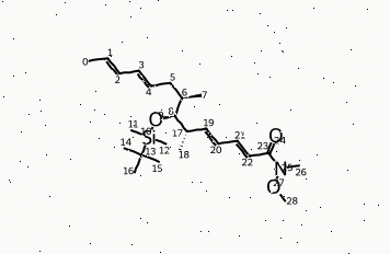 C/C=C/C=C/C[C@@H](C)[C@H](O[Si](C)(C)C(C)(C)C)[C@@H](C)/C=C/C=C/C(=O)N(C)OC